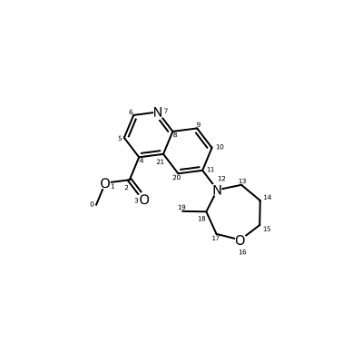 COC(=O)c1ccnc2ccc(N3CCCOCC3C)cc12